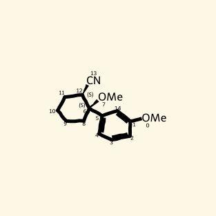 COc1cccc([C@]2(OC)CCCC[C@H]2C#N)c1